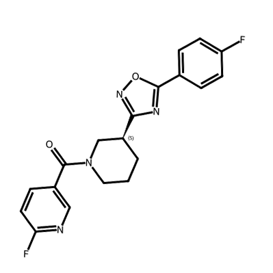 O=C(c1ccc(F)nc1)N1CCC[C@H](c2noc(-c3ccc(F)cc3)n2)C1